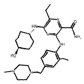 CCc1nc(C(N)=O)c(Nc2ccc(CN3CCN(C)CC3)cc2C)nc1N[C@H]1CC[C@H](O)CC1